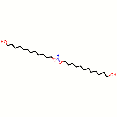 OCCCCCCCCCCCCONOCCCCCCCCCCCCO